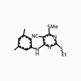 CCSc1nc(Nc2cc(C)cc(C)c2)c(C#N)c(SC)n1